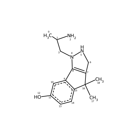 CC(N)CN1NCC2=C1c1cc(O)ccc1C2(C)C